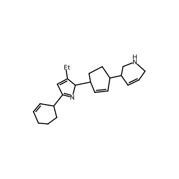 CCC1=CC(C2C=CCCC2)=NC1C1C=CC(C2C=CCNC2)CC1